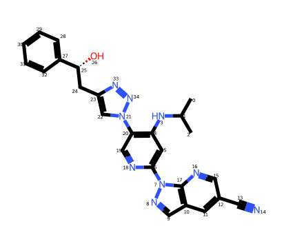 CC(C)Nc1cc(-n2ncc3cc(C#N)cnc32)ncc1-n1cc(C[C@@H](O)c2ccccc2)nn1